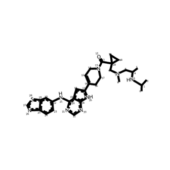 CC(C)NC(C)CN(C)CC1(C(=O)N2CC=C(c3cc4c(Nc5ccc6ncsc6c5)ncnc4[nH]3)CC2)CC1